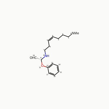 CNCCC/C=C\CCN[C@@H](C=O)Oc1ccccc1